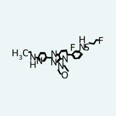 CCNc1ccc(-c2nc(N3CCOCC3)c3nc(-c4cccc(NSCCCF)c4F)ccc3n2)cn1